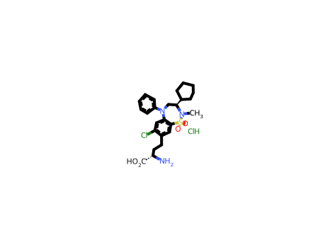 CN1[C@H](C2CCCCC2)CN(c2ccccc2)c2cc(Cl)c(CC[C@H](N)C(=O)O)cc2S1(=O)=O.Cl